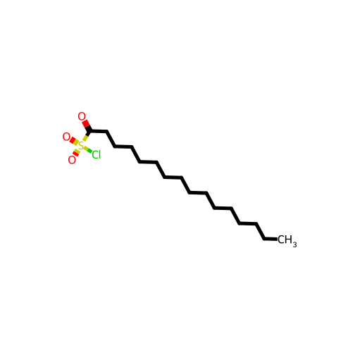 CCCCCCCCCCCCCCCC(=O)S(=O)(=O)Cl